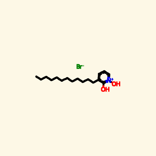 CCCCCCCCCCCCc1ccc[n+](O)c1O.[Br-]